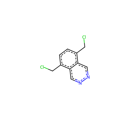 ClCc1ccc(CCl)c2cnncc12